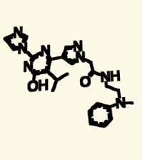 CC(C)c1c(O)nc(-n2ccnc2)nc1-c1cnn(CC(=O)NCCN(C)c2ccccc2)c1